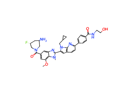 COc1cc(C(=O)N2C[C@H](N)C[C@@H](F)C2)cc2nc(-c3cc4ccc(-c5ccc(C(=O)NCCO)cc5)nc4n3CC3CC3)n(C)c12